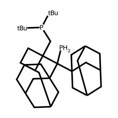 CC(C)(C)P(CC1(C(P)(C23CC4CC(CC(C4)C2)C3)C23CC4CC(CC(C4)C2)C3)CCC1)C(C)(C)C